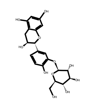 OC[C@H]1O[C@@H](Oc2cc([C@H]3Oc4cc(O)cc(O)c4C[C@@H]3O)ccc2O)[C@H](O)[C@@H](O)[C@@H]1O